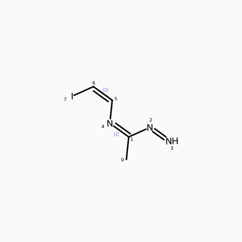 C/C(N=N)=N/C=C\I